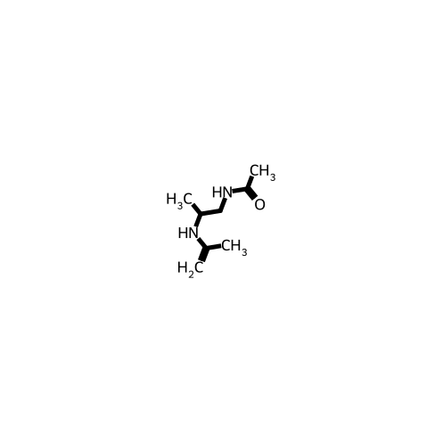 C=C(C)NC(C)CNC(C)=O